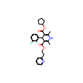 CC1=C(C(=O)OCCc2ccccn2)C(c2cccc(F)c2F)C(C(=O)OC2CCCC2)=C(C)N1